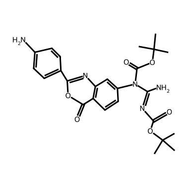 CC(C)(C)OC(=O)N=C(N)N(C(=O)OC(C)(C)C)c1ccc2c(=O)oc(-c3ccc(N)cc3)nc2c1